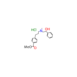 COC(=O)c1ccc(CCCN(C)C[C@H](O)c2ccccc2)cc1.Cl